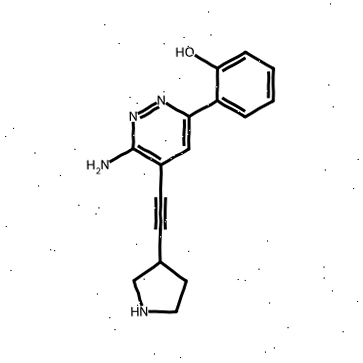 Nc1nnc(-c2ccccc2O)cc1C#CC1CCNC1